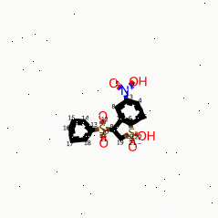 O=[N+](O)c1ccc2c(c1)C(S(=O)(=O)c1ccccc1)CS2([O-])O